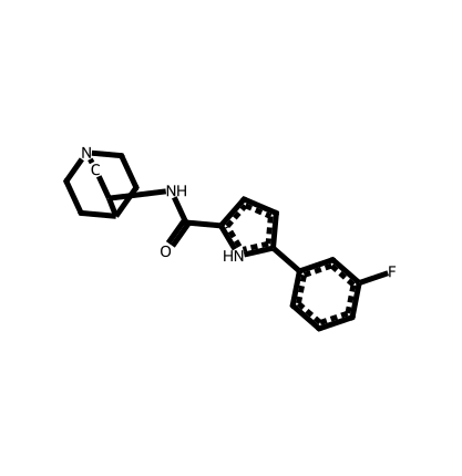 O=C(NC1CN2CCC1CC2)c1ccc(-c2cccc(F)c2)[nH]1